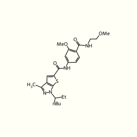 CCCCC(CC)n1nc(C)c2cc(C(=O)Nc3ccc(C(=O)NCCOC)c(OC)c3)sc21